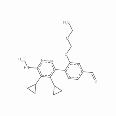 CCOCOc1cc(C=O)ccc1-c1nnc(NC)c(C2CC2)c1C1CC1